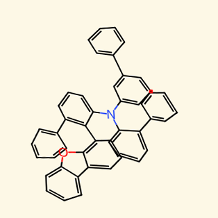 c1ccc(-c2cccc(N(c3ccccc3-c3ccccc3)c3cccc(-c4ccccc4)c3-c3cccc4c3oc3ccccc34)c2)cc1